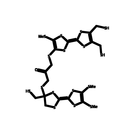 CSC1=C(SC)SC(=C2SCC(CS)(SCC(=O)CSC3=C(SC)SC(=C4SC(CS)=C(CS)S4)S3)S2)S1